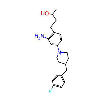 CC(O)CCc1ccc(N2CCC(Cc3ccc(F)cc3)CC2)cc1N